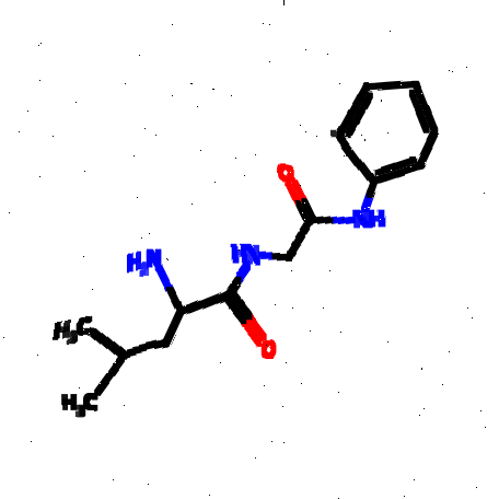 CC(C)CC(N)C(=O)NCC(=O)Nc1[c]cccc1